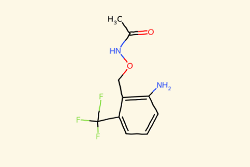 CC(=O)NOCc1c(N)cccc1C(F)(F)F